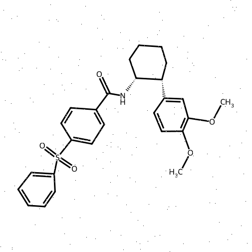 COc1ccc([C@H]2CCCC[C@H]2NC(=O)c2ccc(S(=O)(=O)c3ccccc3)cc2)cc1OC